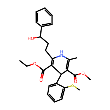 CCOC(=O)C1=C(CCC(O)c2ccccc2)NC(C)=C(C(=O)OC)C1c1ccccc1SC